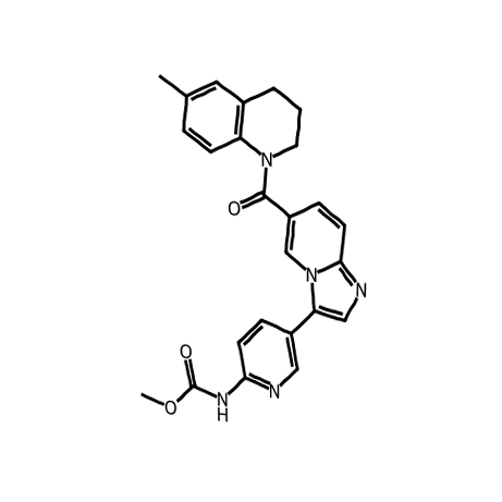 COC(=O)Nc1ccc(-c2cnc3ccc(C(=O)N4CCCc5cc(C)ccc54)cn23)cn1